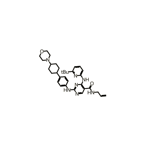 C=CCNC(=O)c1cnc(Nc2ccc(C3CCC(N4CCOCC4)CC3)cc2)nc1Nc1cccc(C(C)(C)C)n1